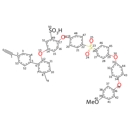 C#Cc1ccc(-c2cc(C)ccc2Oc2ccc(Oc3ccc(S(=O)(=O)c4ccc(Oc5ccc(Oc6ccc(OC)cc6)cc5)cc4)cc3)c(S(=O)(=O)O)c2)cc1